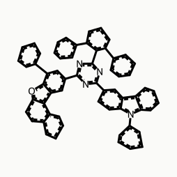 c1ccc(-c2cccc(-c3ccccc3)c2-c2nc(-c3cc(-c4ccccc4)c4oc5ccc6ccccc6c5c4c3)nc(-c3ccc4c(c3)c3ccccc3n4-c3ccccc3)n2)cc1